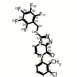 Cc1c(Cl)cccc1-n1ccn2c(SCc3c(F)c(F)c(F)c(F)c3F)nnc2c1=O